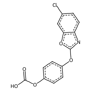 O=C(O)Oc1ccc(Oc2nc3ccc(Cl)cc3o2)cc1